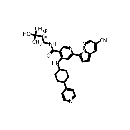 CC(C)(O)[C@H](F)CNC(=O)c1cnc(-c2ccc3cc(C#N)cnn23)cc1NC1CCC(c2ccncc2)CC1